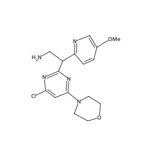 COc1ccc(C(CN)c2nc(Cl)cc(N3CCOCC3)n2)nc1